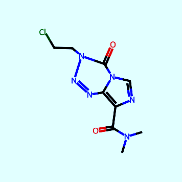 CN(C)C(=O)c1ncn2c(=O)n(CCCl)nnc12